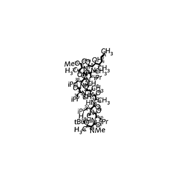 C/C=C/C[C@@H](C)[C@@H](O)[C@@H](C(=O)N[C@H](C(=O)OC)[C@@H](C)O)N(C)C(=O)[C@H](C(C)C)N(C)C(=O)[C@H](CC(C)C)NC(=O)[C@H](CC(C)C)N(C)C(=O)[C@@H](C)NC(=O)[C@H](C)NC(=O)[C@H](CC(C)C)N(C)C(=O)[C@H](CC(C)C)NC(=O)[C@@H](NC)C(C)OC(C)(C)C